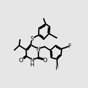 Cc1cc(C)cc(Sc2c(C(C)C)c(=O)[nH]c(=O)n2Cc2cc(F)cc(F)c2)c1